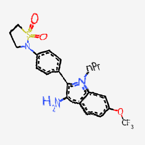 CCCn1c(-c2ccc(N3CCCS3(=O)=O)cc2)c(N)c2ccc(OC(F)(F)F)cc21